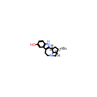 CCCC[C@H]1C[C@H]2c3[nH]c4ccc(O)cc4c3CCN3C[C@@H]1C23